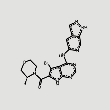 C[C@H]1COCCN1C(=O)c1[nH]c2ncnc(Nc3cc4cn[nH]c4cn3)c2c1Br